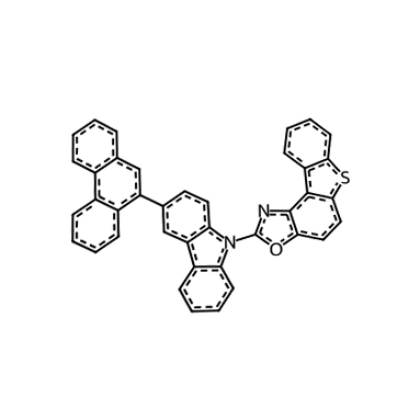 c1ccc2c(c1)cc(-c1ccc3c(c1)c1ccccc1n3-c1nc3c(ccc4sc5ccccc5c43)o1)c1ccccc12